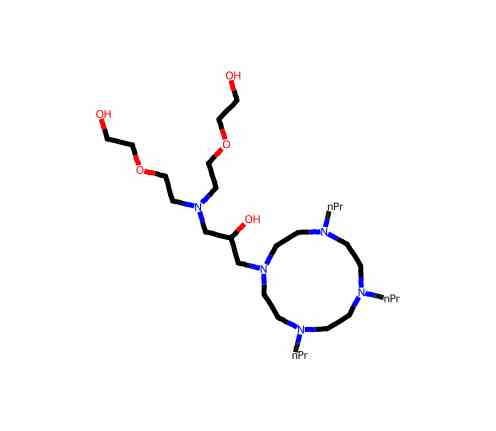 CCCN1CCN(CCC)CCN(CC(O)CN(CCOCCO)CCOCCO)CCN(CCC)CC1